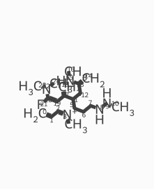 C=C/C=[N+](\C)C(CCNNC)C(CC(=C)NC)C(=C)/C=C(/F)N(C)C